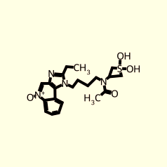 CCc1nc2c[n+]([O-])c3ccccc3c2n1CCCCN(C(C)=O)C1CS(O)(O)C1